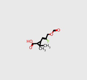 CC1(C)C(/C=C(\F)COC=O)C1C(=O)O